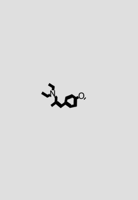 CCN(CC)CC(C)=Cc1ccc(OC)cc1